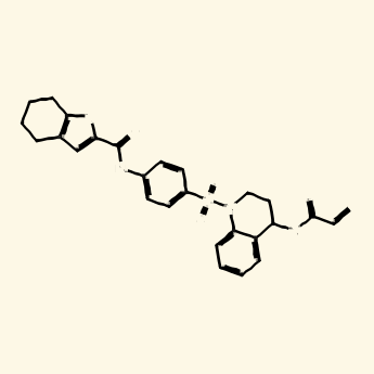 C=CC(=O)NC1CCN(S(=O)(=O)c2ccc(NC(=O)c3cc4c(s3)CCCC4)cc2)c2ccccc21